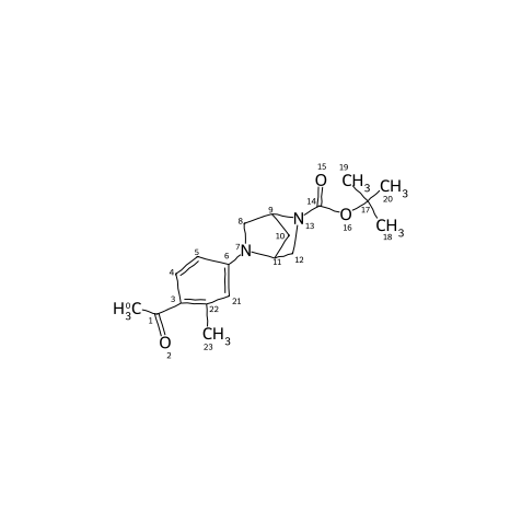 CC(=O)c1ccc(N2CC3CC2CN3C(=O)OC(C)(C)C)cc1C